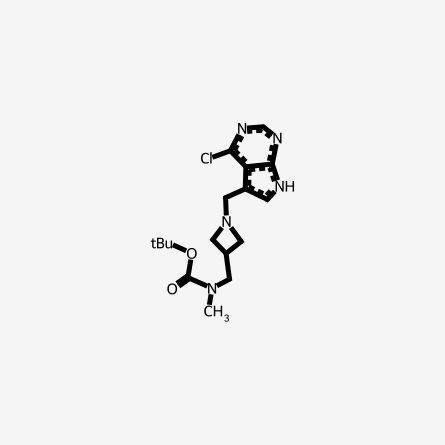 CN(CC1CN(Cc2c[nH]c3ncnc(Cl)c23)C1)C(=O)OC(C)(C)C